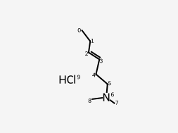 CCC=CCCN(C)C.Cl